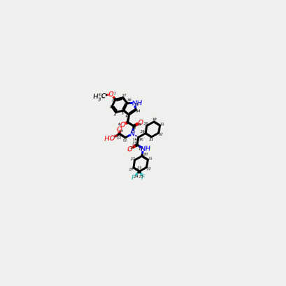 COc1ccc2c(C(=O)C(=O)N(CC(=O)O)[C@@H](C(=O)NC3CCC(F)(F)CC3)C3CCCCC3)c[nH]c2c1